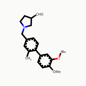 COc1ccc(-c2ccc(CN3CCC(C=O)C3)cc2C)cc1OC(C)(C)C